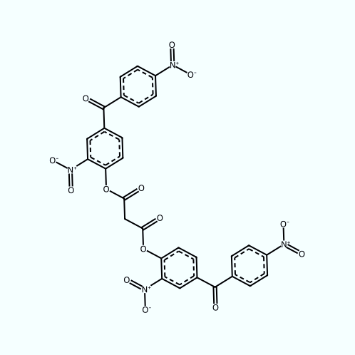 O=C(CC(=O)Oc1ccc(C(=O)c2ccc([N+](=O)[O-])cc2)cc1[N+](=O)[O-])Oc1ccc(C(=O)c2ccc([N+](=O)[O-])cc2)cc1[N+](=O)[O-]